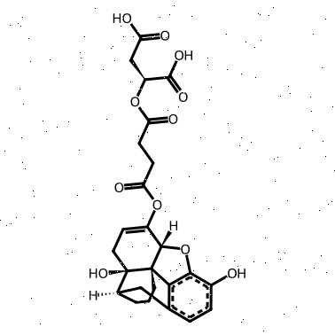 O=C(O)C[C@H](OC(=O)CCC(=O)OC1=CC[C@@]2(O)[C@@H]3CCC[C@@]24c2c(ccc(O)c2O[C@@H]14)C3)C(=O)O